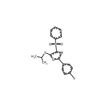 CC(C)Sc1oc(-c2ccc(F)cc2)nc1S(=O)(=O)c1ccccc1